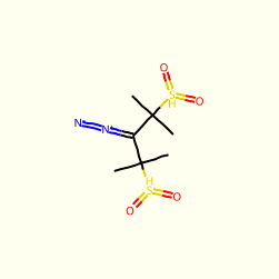 CC(C)(C(=[N+]=[N-])C(C)(C)[SH](=O)=O)[SH](=O)=O